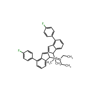 CC[Si](CC)=[Hf]([CH3])([CH3])([CH]1C=Cc2c(-c3ccc(F)cc3)cccc21)[CH]1C=Cc2c(-c3ccc(F)cc3)cccc21